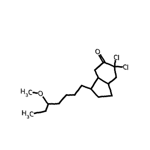 CCC(CCCCC1CCC2CC(Cl)(Cl)C(=O)CC12)OC